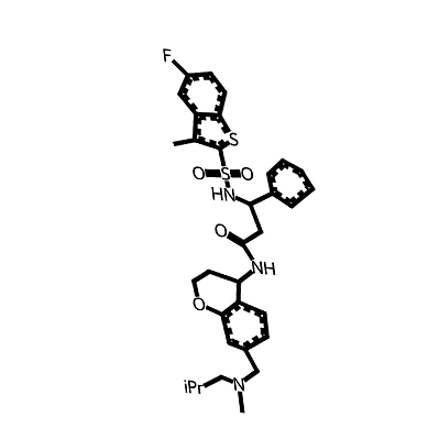 Cc1c(S(=O)(=O)NC(CC(=O)NC2CCOc3cc(CN(C)CC(C)C)ccc32)c2ccccc2)sc2ccc(F)cc12